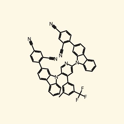 Cc1cc(-c2cc(-n3c4ccccc4c4ccc(-c5ccc(C#N)cc5C#N)cc43)ncc2-n2c3ccccc3c3ccc(-c4ccc(C#N)cc4C#N)cc32)cc(C(F)(F)F)c1